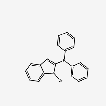 [Zr][CH]1C(P(c2ccccc2)c2ccccc2)=Cc2ccccc21